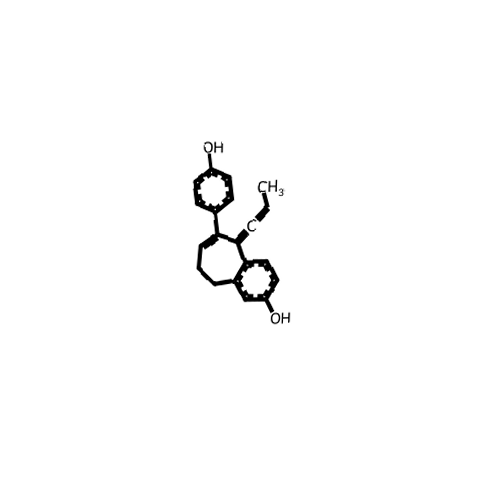 CC=C=C1C(c2ccc(O)cc2)=CCCc2cc(O)ccc21